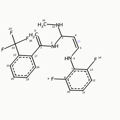 C=C(NC(/C=C\Nc1c(F)cccc1F)NC)c1ccccc1C(F)(F)F